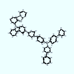 C1=CC2Oc3c(cccc3-n3c4ccccc4c4cc(-c5ccc(-c6ccc(N(c7ccc(-c8ccccc8)cc7)c7ccc(-c8ccccc8)cc7)cc6)cc5)ccc43)C2C=C1